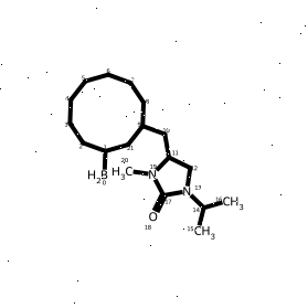 BC1CCCCCCCC(CC2CN(C(C)C)C(=O)N2C)C1